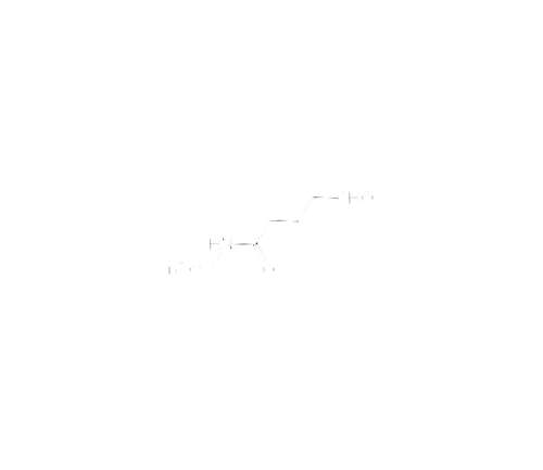 CCCCCNC(=O)CCCC=O